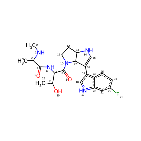 CNC(C)C(=O)NC(C(=O)N1CCC2NC=C(c3c[nH]c4cc(F)ccc34)C21)C(C)O